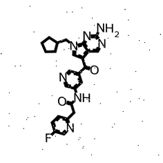 Nc1ncc2c(C(=O)c3cncc(NC(=O)Cc4ccc(F)cn4)c3)cn(CC3CCCC3)c2n1